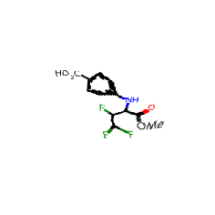 COC(=O)C(Nc1ccc(C(=O)O)cc1)C(F)C(F)F